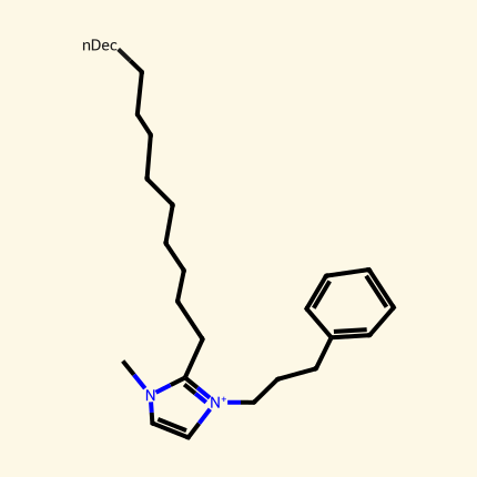 CCCCCCCCCCCCCCCCCCCc1n(C)cc[n+]1CCCc1ccccc1